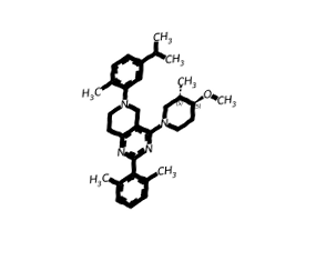 CO[C@H]1CCN(c2nc(-c3c(C)cccc3C)nc3c2CN(c2cc(C(C)C)ccc2C)CC3)C[C@@H]1C